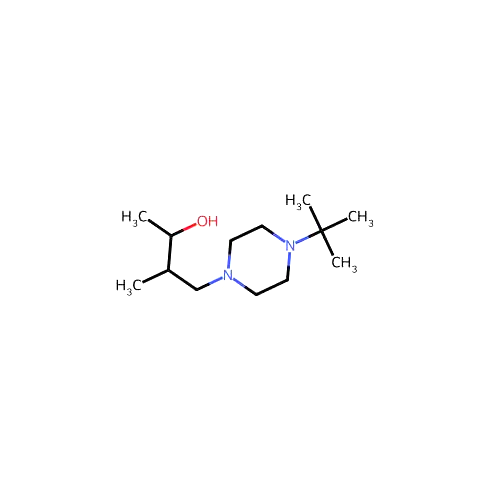 CC(O)C(C)CN1CCN(C(C)(C)C)CC1